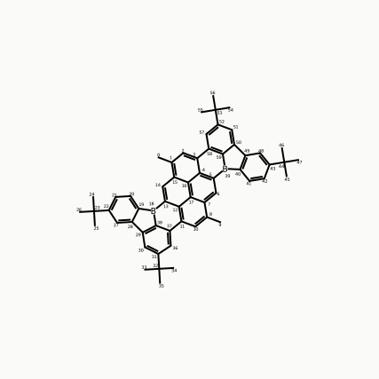 Cc1cc2c3c(cc4c(C)cc5c6c(cc1c3c46)B1c3ccc(C(C)(C)C)cc3-c3cc(C(C)(C)C)cc-5c31)B1c3ccc(C(C)(C)C)cc3-c3cc(C(C)(C)C)cc-2c31